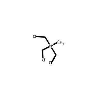 C[N+](CCl)(CCl)CCl